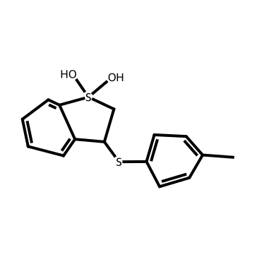 Cc1ccc(SC2CS(O)(O)c3ccccc32)cc1